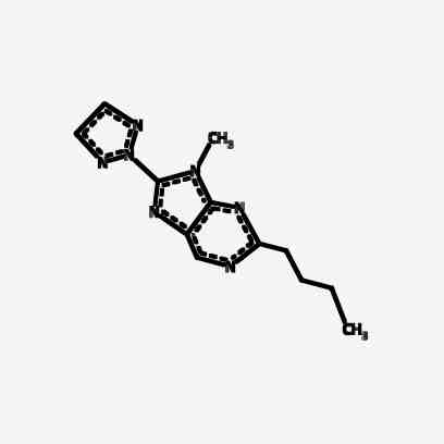 CCCCc1ncc2nc(-n3nccn3)n(C)c2n1